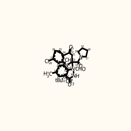 Cc1cc(C)c([N+](C=O)(NC(=O)OC(C)(C)C)C2(C(=O)N3CCCC3)CC(=O)c3ccc(Cl)cc3N2)c(C)c1